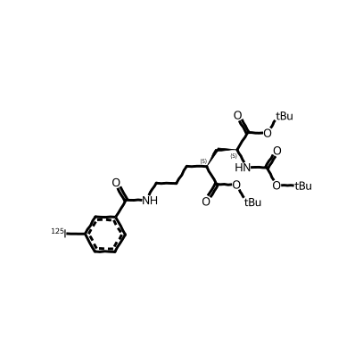 CC(C)(C)OC(=O)N[C@@H](C[C@H](CCCNC(=O)c1cccc([125I])c1)C(=O)OC(C)(C)C)C(=O)OC(C)(C)C